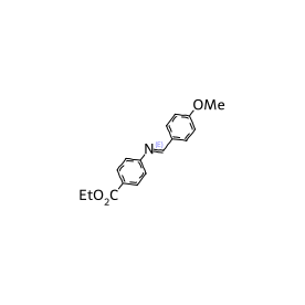 CCOC(=O)c1ccc(/N=C/c2ccc(OC)cc2)cc1